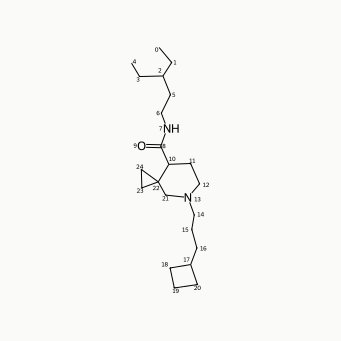 CCC(CC)CCNC(=O)C1CCN(CCCC2CCC2)CC12CC2